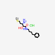 CCSCC[C@@H](N)C(O)C(=O)NCCCCc1ccccc1.Cl